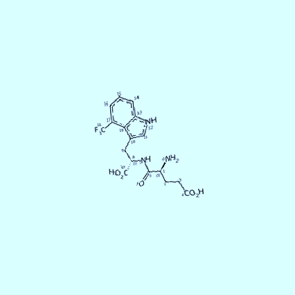 N[C@@H](CCC(=O)O)C(=O)N[C@@H](Cc1c[nH]c2cccc(C(F)(F)F)c12)C(=O)O